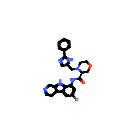 O=C(Nc1cc(Cl)cc2c1[nH]c1cnccc12)[C@@H]1COCCN1Cc1cnc(-c2ccccc2)[nH]1